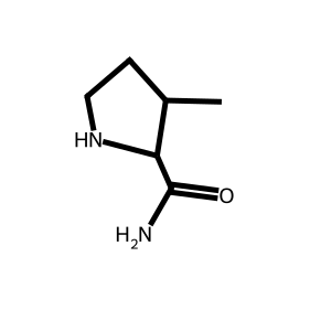 CC1CCNC1C(N)=O